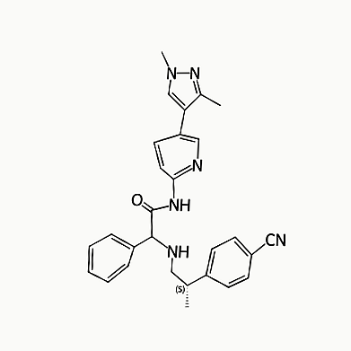 Cc1nn(C)cc1-c1ccc(NC(=O)C(NC[C@@H](C)c2ccc(C#N)cc2)c2ccccc2)nc1